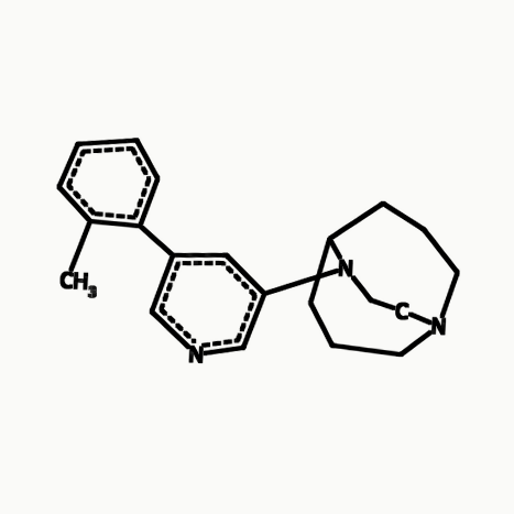 Cc1ccccc1-c1cncc(N2CCN3CCCC2CCC3)c1